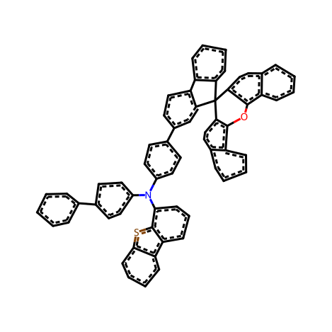 c1ccc(-c2ccc(N(c3ccc(-c4ccc5c(c4)C4(c6ccccc6-5)c5ccc6ccccc6c5Oc5c4ccc4ccccc54)cc3)c3cccc4c3sc3ccccc34)cc2)cc1